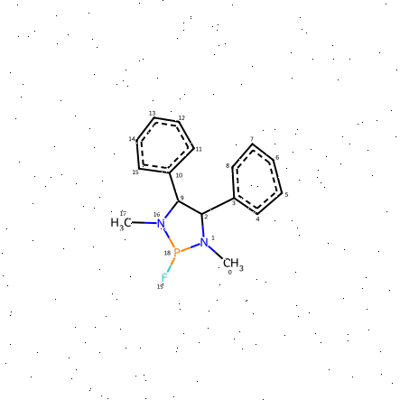 CN1C(c2ccccc2)C(c2ccccc2)N(C)P1F